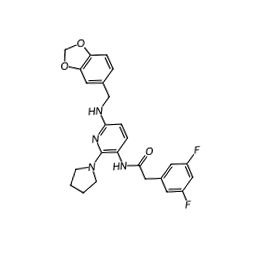 O=C(Cc1cc(F)cc(F)c1)Nc1ccc(NCc2ccc3c(c2)OCO3)nc1N1CCCC1